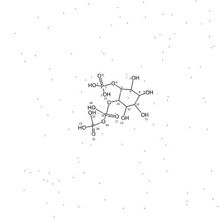 O=P(O)(O)OC1C(O)C(O)C(O)C(O)C1OP(=O)(O)OP(=O)(O)O